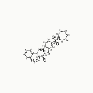 CN(Cc1ccccc1)C(=O)C1Cc2cc(S(=O)(=O)N3CCCCCC3)ccc2N1